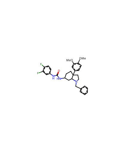 COc1ccc(C23CCC(NC(=O)Nc4ccc(F)c(F)c4)CC2N(Cc2ccccc2)CC3)cc1OC